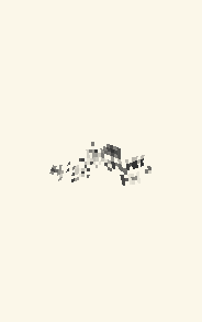 CC(=O)OC(=O)[C@@H](N)CCCNC(=N)N.[NaH]